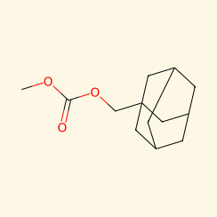 COC(=O)OCC12CC3CC(CC(C3)C1)C2